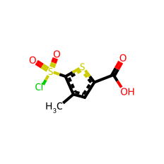 Cc1cc(C(=O)O)sc1S(=O)(=O)Cl